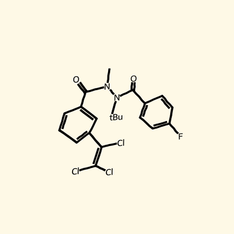 CN(C(=O)c1cccc(C(Cl)=C(Cl)Cl)c1)N(C(=O)c1ccc(F)cc1)C(C)(C)C